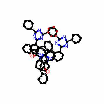 c1ccc(-c2nc(-c3ccccc3)nc(-c3cccc(-n4c5ccccc5c5c6oc7ccccc7c6ccc54)c3-c3cccc(-c4c(-c5nc(-c6ccccc6)nc(-c6ccccc6)n5)cccc4-n4c5ccccc5c5c6oc7ccccc7c6ccc54)c3)n2)cc1